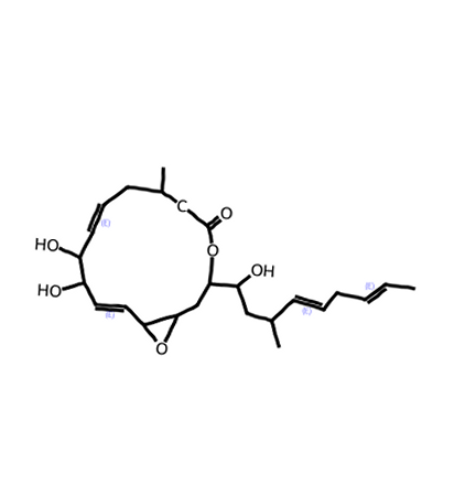 C/C=C/C/C=C/C(C)CC(O)C1CC2OC2/C=C/C(O)C(O)/C=C/CC(C)CC(=O)O1